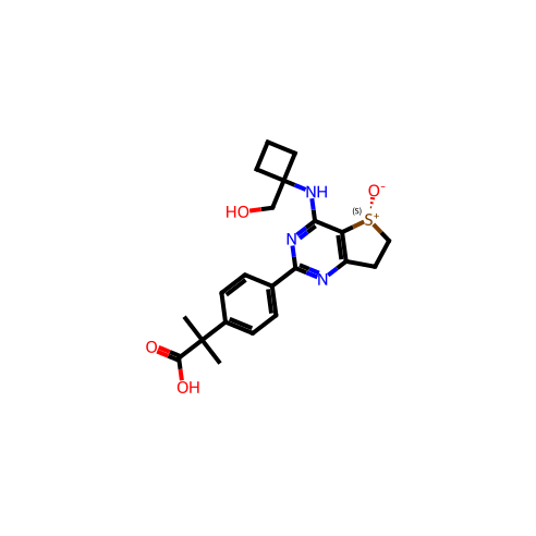 CC(C)(C(=O)O)c1ccc(-c2nc3c(c(NC4(CO)CCC4)n2)[S@+]([O-])CC3)cc1